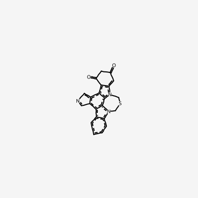 O=C1C=c2c(c3c4c(c5c6ccccc6n6c5c3n2CSC6)C=NC=4)C(=O)C1